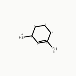 SC1=CC(S)CC[CH]1